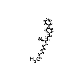 CCCCCCCCC(C#N)CCC[C@H]1CC[C@H](C2CCCCC2)CC1